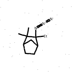 CCC1(N=[N+]=[N-])C2CCC(C2)C1(C)C